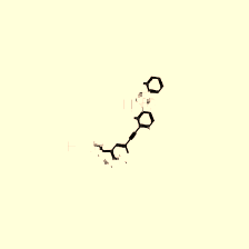 COc1n[nH]c2ncc(C#Cc3c(F)ccc(NS(=O)(=O)c4ccccc4F)c3F)cc12